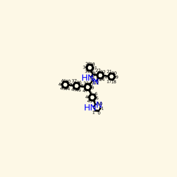 C1=CNC(c2ccc(-c3cc(C4=Nc5cc(-c6ccccc6)ccc5C(c5ccccc5)N4)cc(-c4ccc(-c5ccccc5)cc4)c3)cc2)N=C1